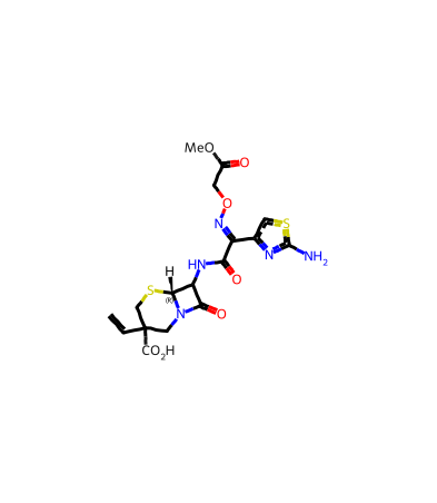 C=CC1(C(=O)O)CS[C@@H]2C(NC(=O)C(=NOCC(=O)OC)c3csc(N)n3)C(=O)N2C1